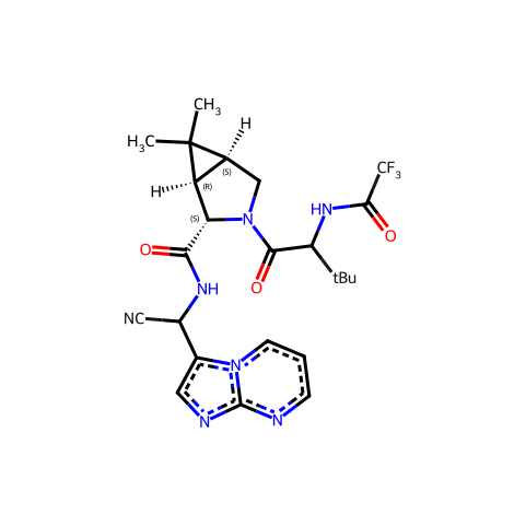 CC(C)(C)C(NC(=O)C(F)(F)F)C(=O)N1C[C@H]2[C@@H]([C@H]1C(=O)NC(C#N)c1cnc3ncccn13)C2(C)C